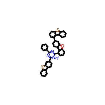 c1ccc(C2=NC(c3cccc4oc5cc(-c6cccc7sc8ccccc8c67)ccc5c34)NC(c3ccc4c(c3)sc3ccccc34)=N2)cc1